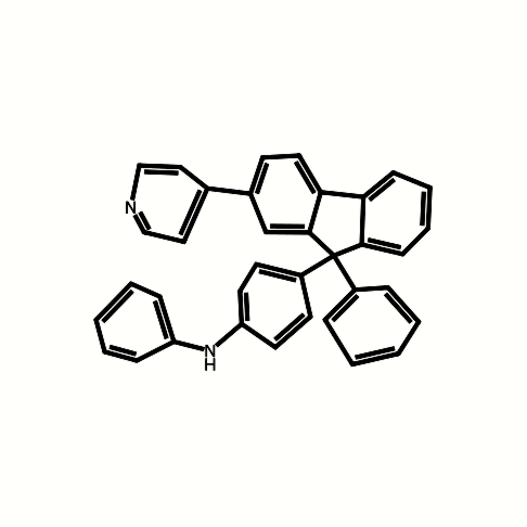 c1ccc(Nc2ccc(C3(c4ccccc4)c4ccccc4-c4ccc(-c5ccncc5)cc43)cc2)cc1